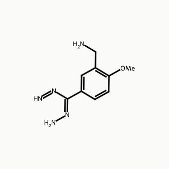 COc1ccc(/C(N=N)=N/N)cc1CN